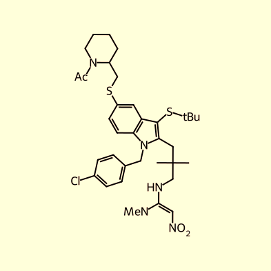 CN/C(=C\[N+](=O)[O-])NCC(C)(C)Cc1c(SC(C)(C)C)c2cc(SCC3CCCCN3C(C)=O)ccc2n1Cc1ccc(Cl)cc1